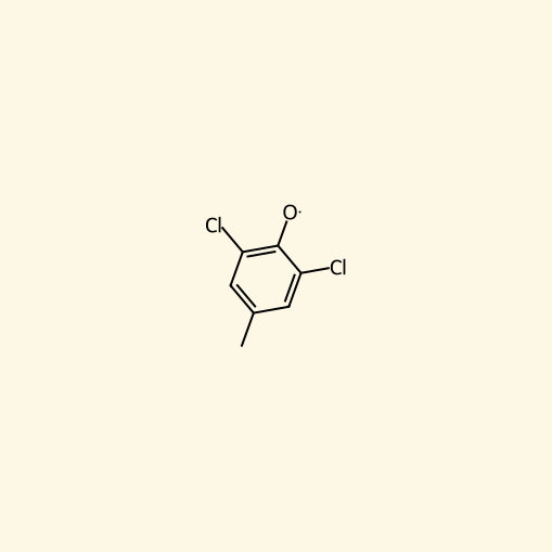 Cc1cc(Cl)c([O])c(Cl)c1